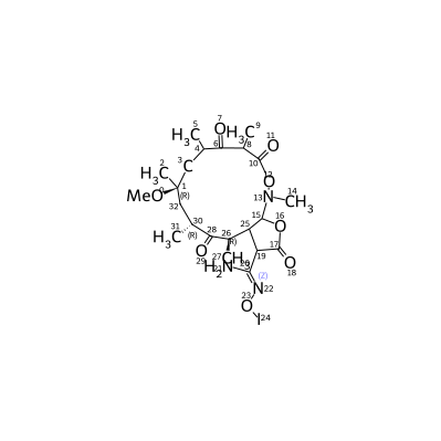 CO[C@@]1(C)CC(C)C(=O)C(C)C(=O)ON(C)C2OC(=O)C(/C(N)=N/OI)C2[C@@H](C)C(=O)[C@H](C)C1